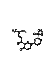 CN(C)C=CC(=O)c1nn(-c2ccnc(S(C)(=O)=O)c2)ccc1=O